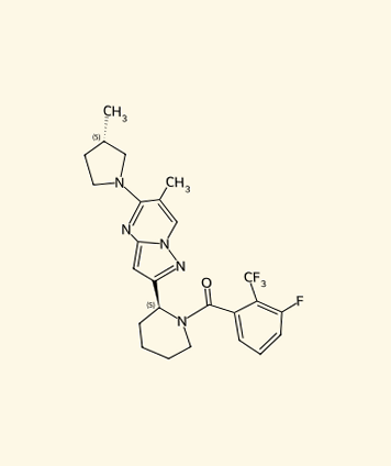 Cc1cn2nc([C@@H]3CCCCN3C(=O)c3cccc(F)c3C(F)(F)F)cc2nc1N1CC[C@H](C)C1